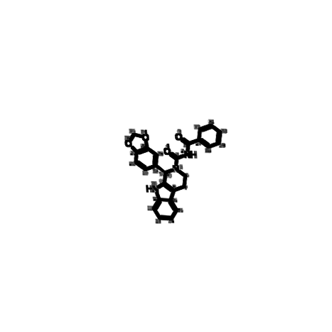 O=C(NC(=O)N1CCc2c([nH]c3ccccc23)[C@H]1c1ccc2c(c1)OCO2)c1ccccc1